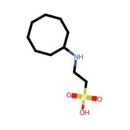 O=S(=O)(O)CCNC1CCCCCCC1